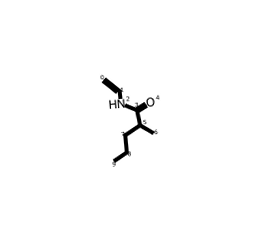 C=CNC(=O)C(C)CCC